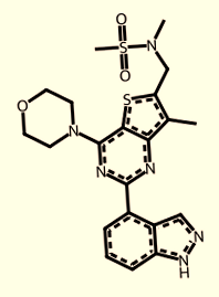 Cc1c(CN(C)S(C)(=O)=O)sc2c(N3CCOCC3)nc(-c3cccc4[nH]ncc34)nc12